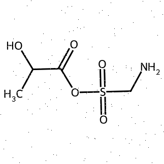 CC(O)C(=O)OS(=O)(=O)CN